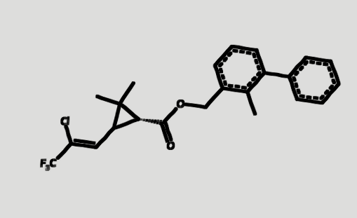 Cc1c(COC(=O)[C@@H]2C(/C=C(\Cl)C(F)(F)F)C2(C)C)cccc1-c1ccccc1